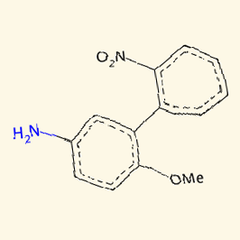 COc1ccc(N)cc1-c1ccccc1[N+](=O)[O-]